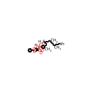 Cc1c(C)c2c(c(C)c1OC(=O)OCC1(CO)COC(c3ccccc3)OC1)CCC(C)(CCCC(C)CCCC(C)CCCC(C)C)O2